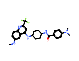 CNc1ccc2nc(C(F)(F)F)cc(NC3CCC(NC(=O)c4ccc(N(C)C)cc4)CC3)c2c1